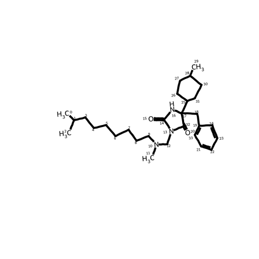 CC(C)CCCCCCCN(C)CN1C(=O)NC(Cc2ccccc2)(C2CCC(C)CC2)C1=O